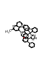 Cc1cc(N(Cc2ccc(-c3ccccc3)c(-c3nnnn3C(c3ccccc3)(c3ccccc3)c3ccccc3)c2)C(=O)OC(C)(C)C)c2ncccc2n1